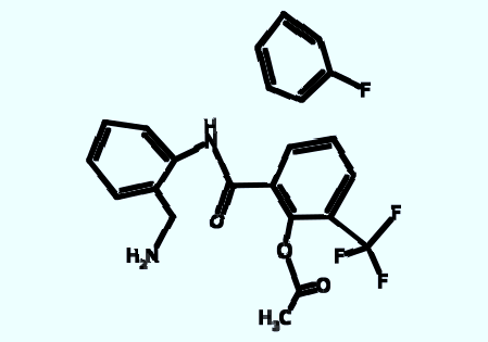 CC(=O)Oc1c(C(=O)Nc2ccccc2CN)cccc1C(F)(F)F.Fc1ccccc1